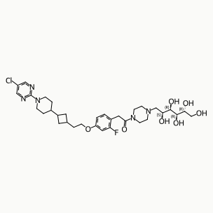 O=C(Cc1ccc(OCCC2CC(C3CCN(c4ncc(Cl)cn4)CC3)C2)cc1F)N1CCN(C[C@H](O)[C@@H](O)[C@H](O)[C@H](O)CO)CC1